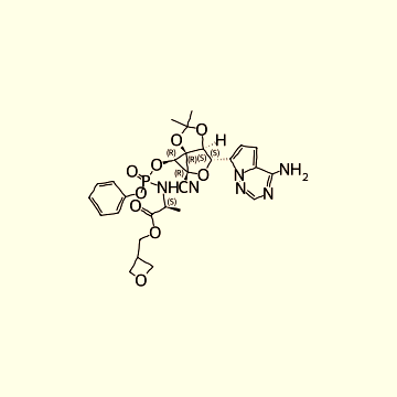 C[C@H](NP(=O)(Oc1ccccc1)O[C@H]1[C@]23OC(C)(C)O[C@H]2[C@H](c2ccc4c(N)ncnn24)O[C@]13C#N)C(=O)OCC1COC1